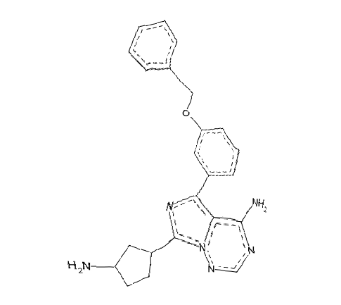 Nc1ncnn2c(C3CCC(N)C3)nc(-c3cccc(OCc4ccccc4)c3)c12